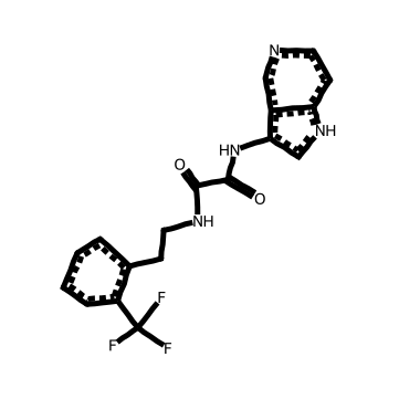 O=C(NCCc1ccccc1C(F)(F)F)C(=O)Nc1c[nH]c2ccncc12